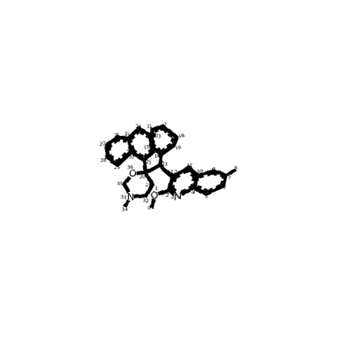 COc1nc2ccc(C)cc2cc1C(c1ccccc1)C1(c2cccc3ccccc23)CCN(C)CO1